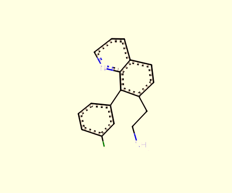 NCCc1ccc2cccnc2c1-c1cccc(F)c1